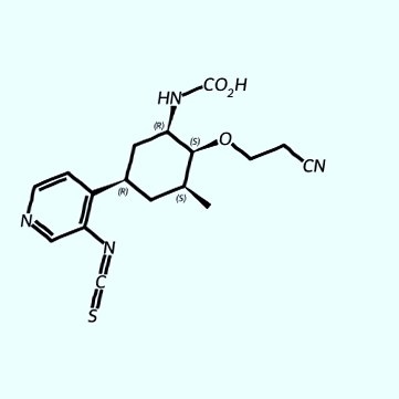 C[C@H]1C[C@@H](c2ccncc2N=C=S)C[C@@H](NC(=O)O)[C@H]1OCCC#N